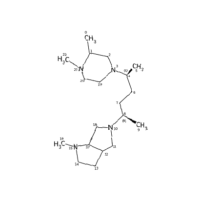 CC1CN([C@@H](C)CC[C@@H](C)N2CC3CCN(C)C3C2)CCN1C